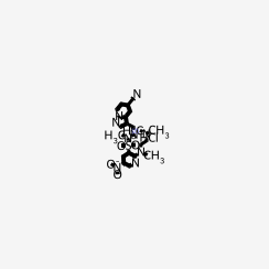 CN(C)CCN(C)c1ncc([N+](=O)[O-])cc1S(=O)(=O)N(C)/N=C\c1cnn2ccc(C#N)cc12.Cl